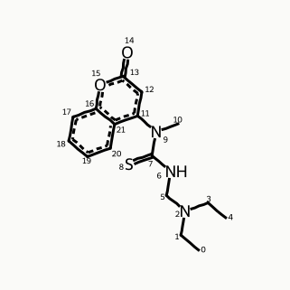 CCN(CC)CNC(=S)N(C)c1cc(=O)oc2ccccc12